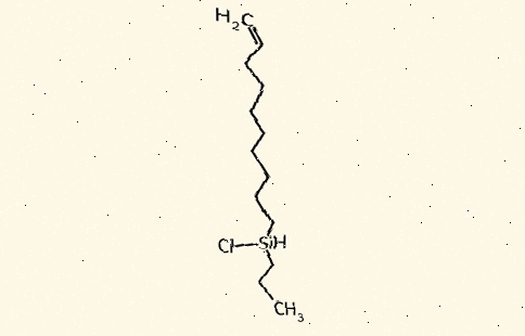 C=CCCCCCCCC[SiH](Cl)CCC